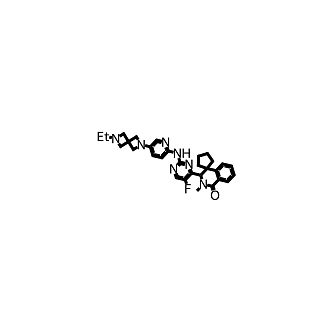 CCN1CC2(C1)CN(c1ccc(Nc3ncc(F)c(C4N(C)C(=O)c5ccccc5C45CCCC5)n3)nc1)C2